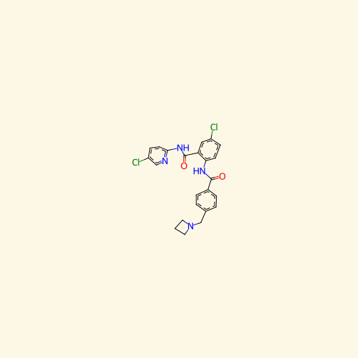 O=C(Nc1ccc(Cl)cc1C(=O)Nc1ccc(Cl)cn1)c1ccc(CN2CCC2)cc1